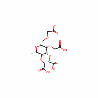 C[C@@H]1O[C@H](COCC(=O)O)[C@H](OCC(=O)O)[C@H](OCC(=O)O)[C@H]1OCC(=O)O